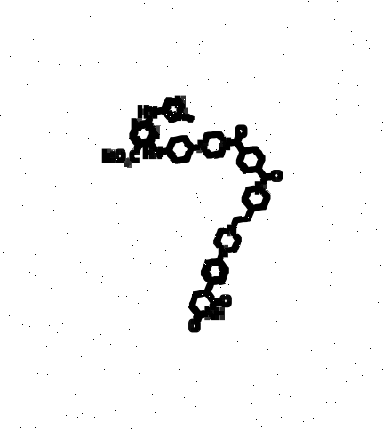 CCOC(=O)c1cnc(Nc2cnn(C)c2)nc1NC1CCC(N2CCN(C(=O)C3CCC(C(=O)N4CCC(CCN5CCN(c6ccc(C7CCC(=O)NC7=O)cc6)CC5)CC4)CC3)CC2)CC1